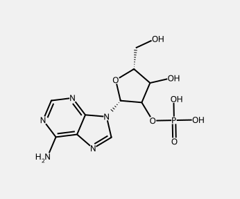 Nc1ncnc2c1ncn2[C@@H]1O[C@H](CO)C(O)C1OP(=O)(O)O